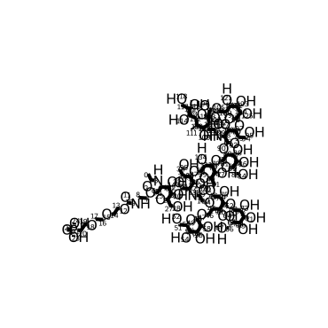 CC(=O)NC1[C@H](OCCNC(=O)OCCOCCOCCP(=O)(O)O)OC(CO)[C@@H](O[C@@H]2OC(CO)[C@@H](O[C@@H]3OC(CO[C@H]4OC(CO[C@H]5OC(CO)[C@@H](O)[C@H](O)C5O)[C@@H](O)[C@H](O[C@H]5O[C@@H](CO)[C@@H](O)C(O)C5O)C4O)[C@@H](O)[C@H](O[C@H]4O[C@@H](CO)[C@@H](O)C(O)C4O[C@@H]4OC(CO)[C@@H](O[C@@H]5OC(CO[C@]6(C(=O)O)C[C@@H](O)[C@@H](C)C([C@H](O)[C@H](O)CO)O6)[C@H](O)[C@H](O)C5O)[C@H](O)C4NC(C)=O)C3O)[C@H](O)C2NC(C)=O)[C@@H]1O